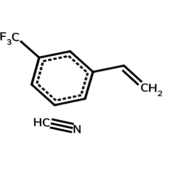 C#N.C=Cc1cccc(C(F)(F)F)c1